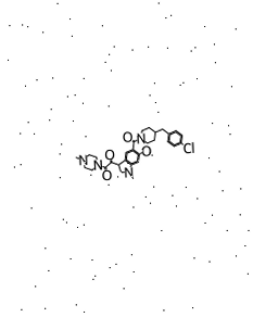 COc1cc2c(cc1C(=O)N1CCC(Cc3ccc(Cl)cc3)CC1)C(C(=O)C(=O)N1CCN(C)CC1)CN2C